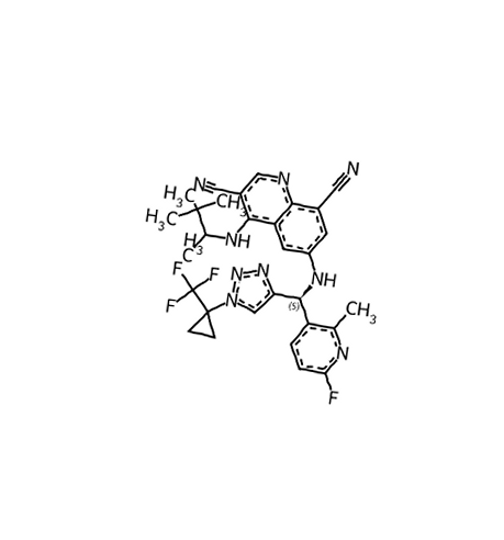 Cc1nc(F)ccc1[C@H](Nc1cc(C#N)c2ncc(C#N)c(NC(C)C(C)(C)C)c2c1)c1cn(C2(C(F)(F)F)CC2)nn1